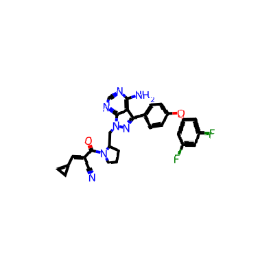 N#CC(=CC1CC1)C(=O)N1CCCC1Cn1nc(-c2ccc(Oc3cc(F)cc(F)c3)cc2)c2c(N)ncnc21